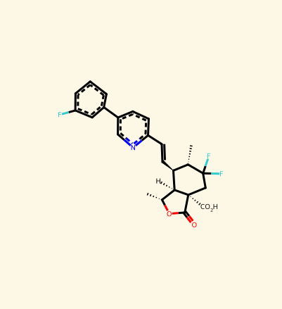 C[C@H]1OC(=O)[C@]2(C(=O)O)CC(F)(F)[C@@H](C)[C@H](/C=C/c3ccc(-c4cccc(F)c4)cn3)[C@H]12